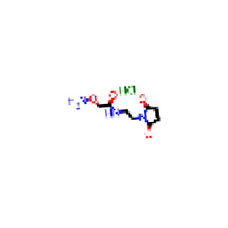 Cl.NOCC(=O)NCCN1C(=O)C=CC1=O